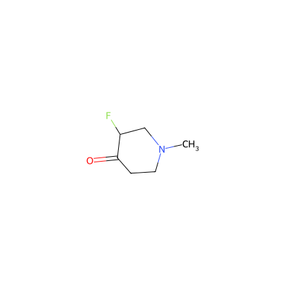 CN1CCC(=O)C(F)C1